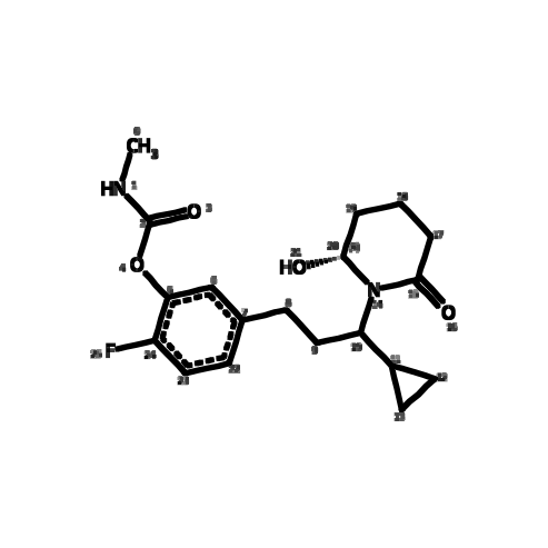 CNC(=O)Oc1cc(CCC(C2CC2)N2C(=O)CCC[C@H]2O)ccc1F